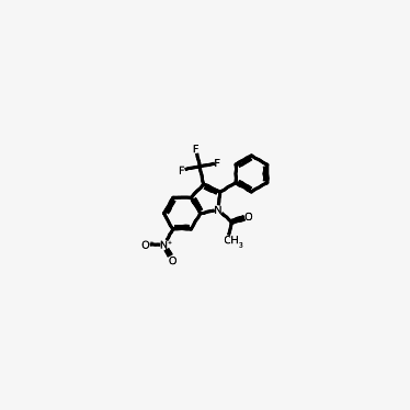 CC(=O)n1c(-c2ccccc2)c(C(F)(F)F)c2ccc([N+](=O)[O-])cc21